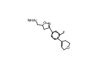 CC(=O)NCC1CC(c2ccc(C3=CCOCC3)c(F)c2)=NO1